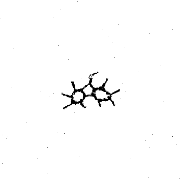 CN=C1c2c(C)c(C)c(C)c(C)c2-c2c(C)c(C)c(C)c(C)c21